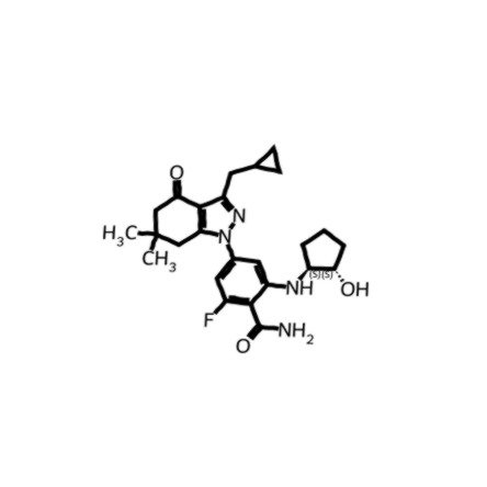 CC1(C)CC(=O)c2c(CC3CC3)nn(-c3cc(F)c(C(N)=O)c(N[C@H]4CCC[C@@H]4O)c3)c2C1